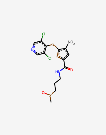 C[S+]([O-])CCCNC(=O)c1cc([N+](=O)[O-])c(Sc2c(Cl)cncc2Cl)s1